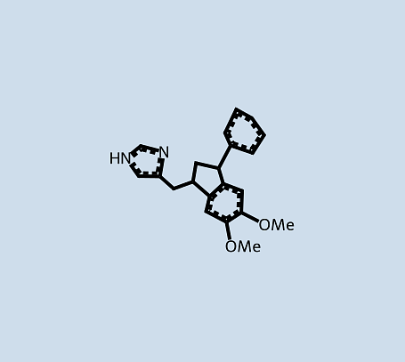 COc1cc2c(cc1OC)C(c1ccccc1)CC2Cc1c[nH]cn1